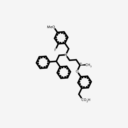 COc1ccc(CN(CC[C@@H](C)Oc2cccc(CC(=O)O)c2)CC(c2ccccc2)c2ccccc2)c(F)c1